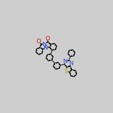 O=c1c2ccccc2n2c3c(-c4cccc(-c5cccc(-c6nc(-c7ccccc7)nc7c6sc6ccccc67)c5)c4)cccc3c(=O)n12